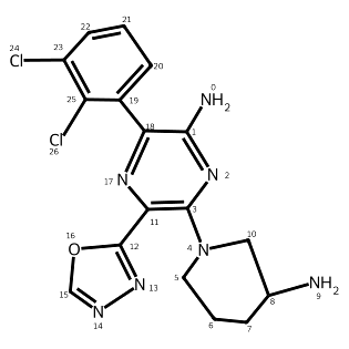 Nc1nc(N2CCCC(N)C2)c(-c2nnco2)nc1-c1cccc(Cl)c1Cl